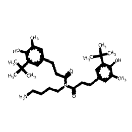 Cc1cc(CCC(=O)N(CCCCN)C(=O)CCc2cc(C)c(O)c(C(C)(C)C)c2)cc(C(C)(C)C)c1O